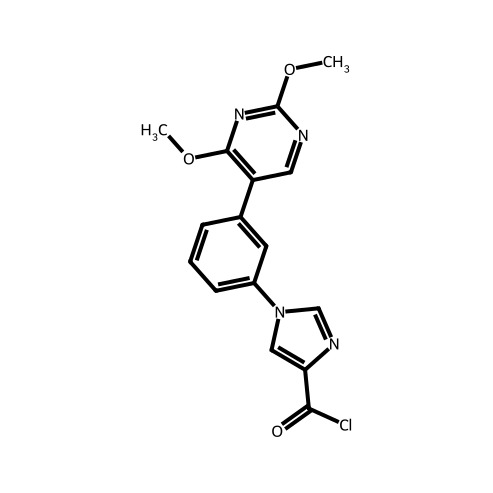 COc1ncc(-c2cccc(-n3cnc(C(=O)Cl)c3)c2)c(OC)n1